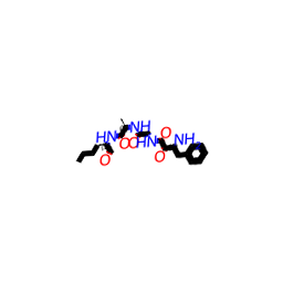 CCCC[C@@H](C=O)NC(=O)[C@H](C)NC(=O)CNC(=O)C(=O)[C@@H](N)Cc1ccccc1